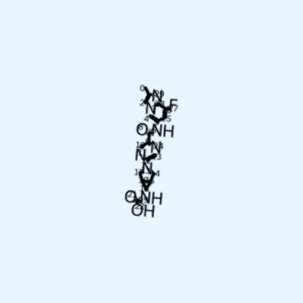 Cc1cn2cc(NC(=O)c3cnc(N4CC5C(C4)C5NC(=O)O)cn3)cc(F)c2n1